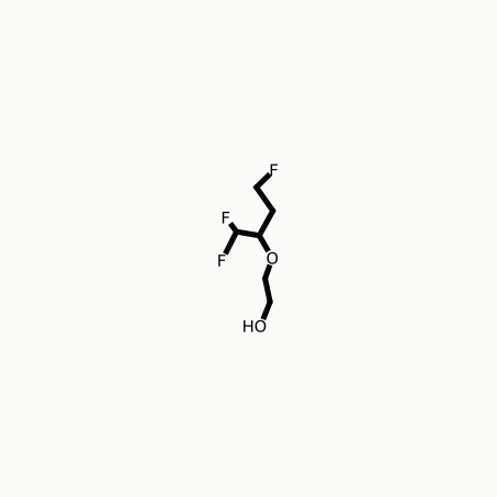 OCCOC(CCF)C(F)F